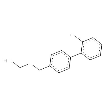 CCOCc1ccc(-c2ccccc2Cl)cc1